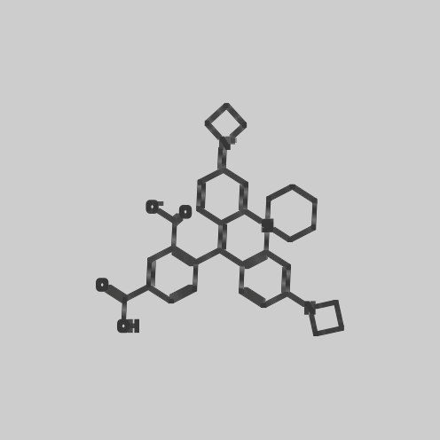 O=C(O)c1ccc(C2=C3C=CC(=[N+]4CCC4)C=C3[Si]3(CCCCC3)c3cc(N4CCC4)ccc32)c(C(=O)[O-])c1